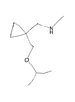 CNCC1(COC(C)C)CC1